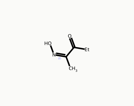 CCC(=O)/C(C)=N\O